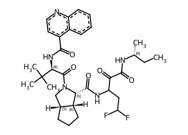 CC[C@@H](C)NC(=O)C(=O)C(CC(F)F)NC(=O)[C@@H]1[C@@H]2CCC[C@@H]2CN1C(=O)[C@H](NC(=O)c1ccnc2ccccc12)C(C)(C)C